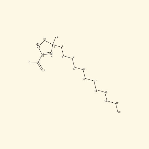 C=C(C)C1=NC(C)(CCCCCCCCCCCC)CO1